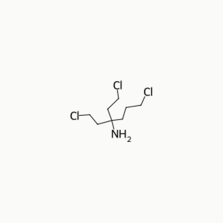 NC(CCCl)(CCCl)CCCCl